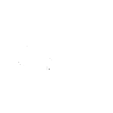 N#Cc1c(Cl)c(-c2ccsc2)nn(Cc2ccc(F)cc2)c1=O